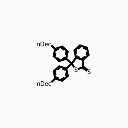 CCCCCCCCCCc1ccc(C2(c3ccc(CCCCCCCCCC)cc3)SC(=S)c3ccccc32)cc1